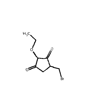 CCOC1C(=O)CC(CBr)C1=O